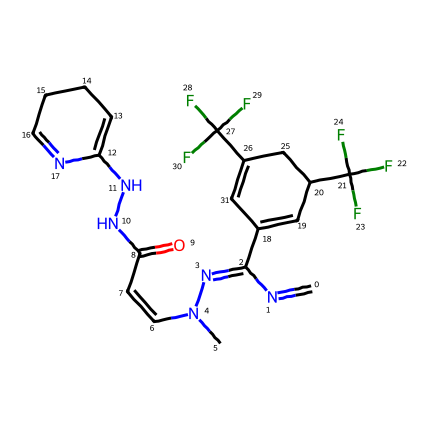 C=N/C(=N\N(C)/C=C\C(=O)NNC1=CCCC=N1)C1=CC(C(F)(F)F)CC(C(F)(F)F)=C1